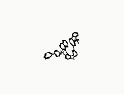 CC1(C)c2ccccc2-c2ccc(-c3ccc4sc5ccc6c(c5c4c3)c3c4ccccc4ccc3n6-c3ccc(-c4ccccc4)cc3)cc21